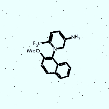 COc1ccc2ccccc2c1N1CC(N)=CC=C1C(F)(F)F